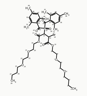 CCCCOCCOCCOC(=O)C(Br)C(C(=O)OCCOCCOCCCC)P(=O)(C(=O)c1c(C)cc(C)cc1C)C(=O)c1c(C)cc(C)cc1C